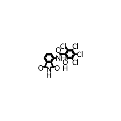 O=C1NC(=O)c2c(NC(=O)c3c(O)c(Cl)c(Cl)c(Cl)c3Cl)cccc21